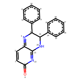 O=C1C=CC2=NC(c3ccccc3)C(c3ccccc3)NC2=N1